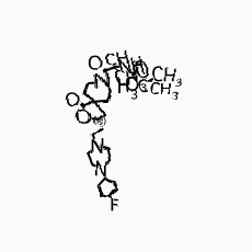 CC(C)(C)OC(=O)NC(C)(C)C(=O)N1CCC2(CC1)C[C@H](CCN1CCN(c3ccc(F)cc3)CC1)OC2=O